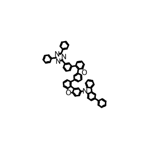 c1ccc(-c2ccc3c(c2)c2ccccc2n3-c2ccc3oc4cccc(-c5ccc6oc7cccc(-c8cccc(-c9nc(-c%10ccccc%10)nc(-c%10ccccc%10)n9)c8)c7c6c5)c4c3c2)cc1